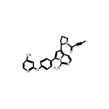 CC#CC(=O)N1CCCC1c1cc(-c2ccc(Oc3cc(C#N)ccn3)cc2)n2c(N)nccc12